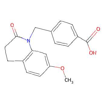 COc1ccc2c(c1)N(Cc1ccc(C(=O)O)cc1)C(=O)CC2